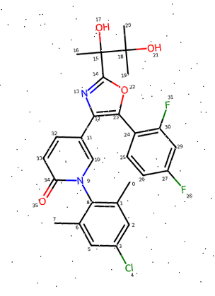 Cc1cc(Cl)cc(C)c1-n1cc(-c2nc(C(C)(O)C(C)(C)O)oc2-c2ccc(F)cc2F)ccc1=O